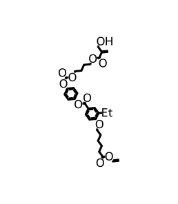 C=COC(=O)CCCCCOc1ccc(C(=O)Oc2ccc(OC(=O)OCCCCOC(=O)C(=C)CO)cc2)cc1CC